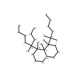 CCCCC(C)(C)C1(C)CCCN2CCCC(C)(C(C)(CCC)CCCC)C21C